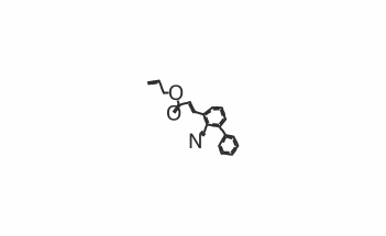 C=CCOC(=O)C=Cc1cccc(-c2ccccc2)c1C#N